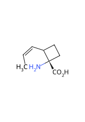 C/C=C\C1CC[C@@]1(N)C(=O)O